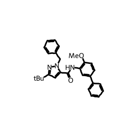 COc1ccc(-c2ccccc2)cc1NC(=O)c1cc(C(C)(C)C)nn1Cc1ccccc1